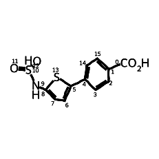 O=C(O)c1ccc(-c2ccc(N[SH](=O)=O)s2)cc1